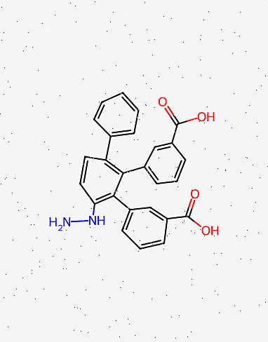 NNc1ccc(-c2ccccc2)c(-c2cccc(C(=O)O)c2)c1-c1cccc(C(=O)O)c1